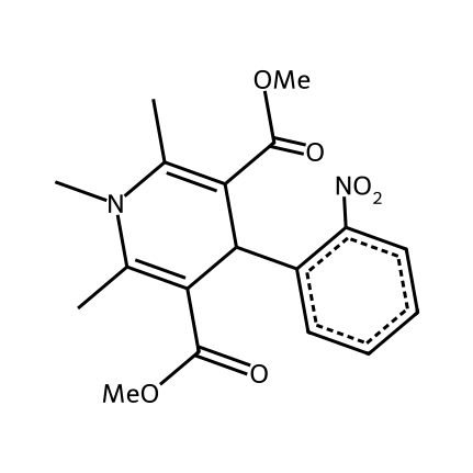 COC(=O)C1=C(C)N(C)C(C)=C(C(=O)OC)C1c1ccccc1[N+](=O)[O-]